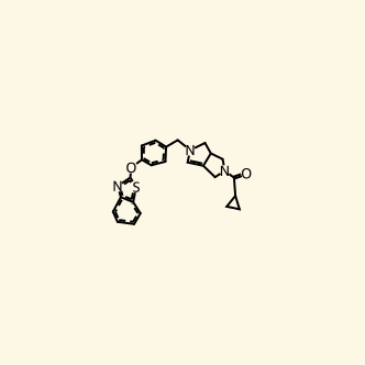 O=C(C1CC1)N1CC2=CN(Cc3ccc(Oc4nc5ccccc5s4)cc3)CC2C1